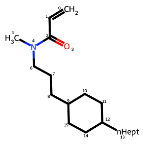 C=CC(=O)N(C)CCCC1CCC(CCCCCCC)CC1